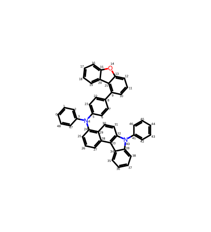 c1ccc(N(c2ccc(-c3cccc4oc5ccccc5c34)cc2)c2cccc3c2ccc2c3c3ccccc3n2-c2ccccc2)cc1